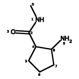 CNC(=O)C1CCCC1N